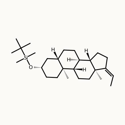 C/C=C1/CC[C@H]2[C@@H]3CC[C@H]4C[C@@H](O[Si](C)(C)C(C)(C)C)CC[C@]4(C)[C@H]3CC[C@]12C